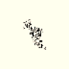 CN1CCOC[C@H]1CNc1ncc(-c2ccc(C(F)(F)F)cc2)c2nccnc12